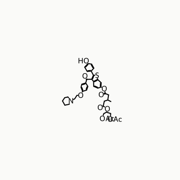 CC(=O)OCC(COC(C)=O)OC(=O)CC(C)CC(=O)Oc1ccc2c(C(=O)c3ccc(OCCN4CCCCC4)cc3)c(-c3ccc(O)cc3)sc2c1